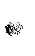 CC(CO)C(=O)OC1C2CC3C(=O)OC1C3C2